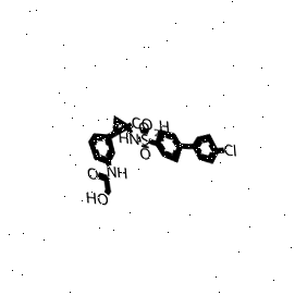 O=C(CO)Nc1cccc(C2CC2(NS(=O)(=O)c2ccc(-c3ccc(Cl)cc3)cc2)C(=O)O)c1